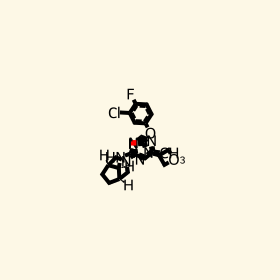 Cc1cc(N2C[C@H]3CC[C@@H](C2)[C@H]3Nc2nc(Oc3ccc(F)c(Cl)c3)n(C3COC3)n2)ncn1